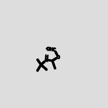 CC(NC(C)(C)C)O[C]=O